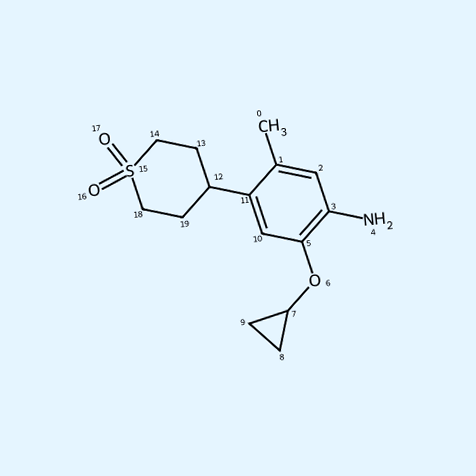 Cc1cc(N)c(OC2CC2)cc1C1CCS(=O)(=O)CC1